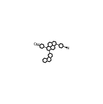 [C-]#[N+]c1ccc(-c2cc(-c3ccc4ccc5ccccc5c4c3)c3ccc4c(-c5ccc(C#N)cc5)ccc5ccc2c3c54)cc1